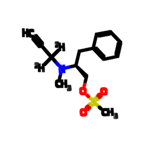 [2H]C([2H])(C#C)N(C)[C@H](COS(C)(=O)=O)Cc1ccccc1